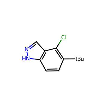 CC(C)(C)c1ccc2[nH]ncc2c1Cl